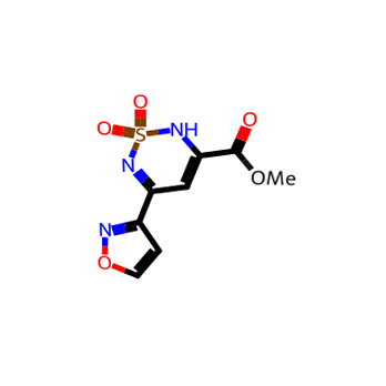 COC(=O)C1=CC(c2ccon2)=NS(=O)(=O)N1